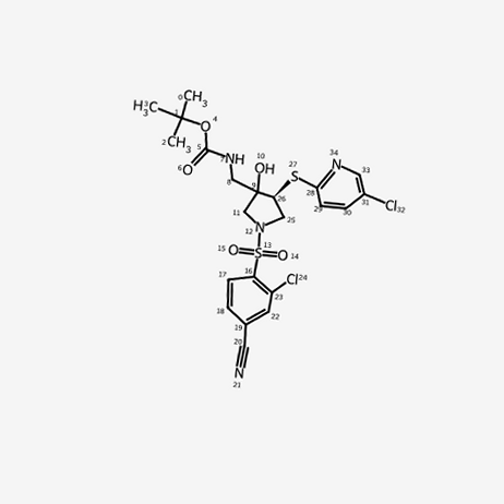 CC(C)(C)OC(=O)NCC1(O)CN(S(=O)(=O)c2ccc(C#N)cc2Cl)C[C@@H]1Sc1ccc(Cl)cn1